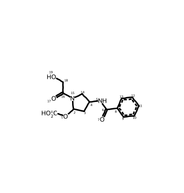 O=C(O)OC1CC(NC(=O)c2ccccc2)CN1C(=O)CO